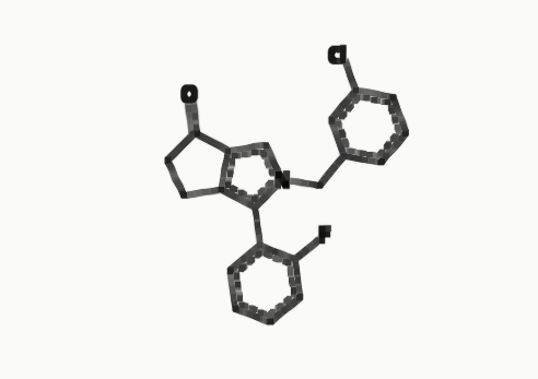 O=C1CCc2c1cn(Cc1cccc(Cl)c1)c2-c1ccccc1F